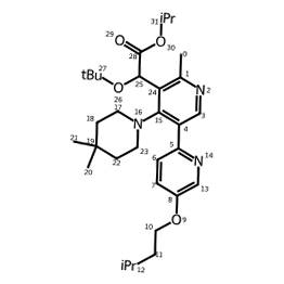 Cc1ncc(-c2ccc(OCCC(C)C)cn2)c(N2CCC(C)(C)CC2)c1C(OC(C)(C)C)C(=O)OC(C)C